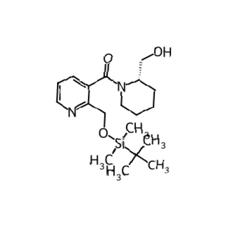 CC(C)(C)[Si](C)(C)OCc1ncccc1C(=O)N1CCCC[C@H]1CO